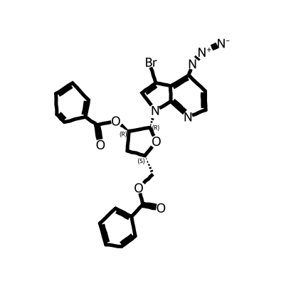 [N-]=[N+]=Nc1ccnc2c1c(Br)cn2[C@@H]1O[C@H](COC(=O)c2ccccc2)C[C@H]1OC(=O)c1ccccc1